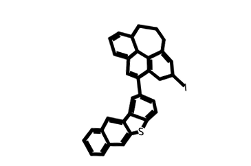 IC1C=C2CCCC3C=CC=C4C=C(c5ccc6sc7cc8ccccc8cc7c6c5)C(=C2C43)C1